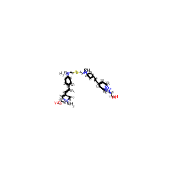 CN(CCSSCCN(C)c1ccc(/C=C/c2cc[n+](CCO)cc2)cc1)c1ccc(/C=C/C2=CC[N+](C)(CCO)C=C2)cc1